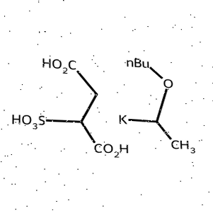 CCCCO[CH](C)[K].O=C(O)CC(C(=O)O)S(=O)(=O)O